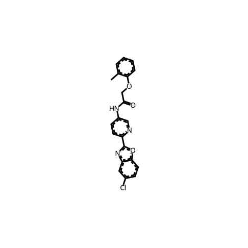 Cc1ccccc1OCC(=O)Nc1ccc(-c2nc3cc(Cl)ccc3o2)nc1